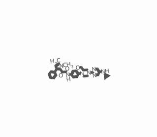 Cc1cc(-c2ccccc2)c(C(=O)C(=O)Nc2ccc3c(c2)OCC2CN(c4ncc(NC5=CC5)cn4)CCN32)n1C